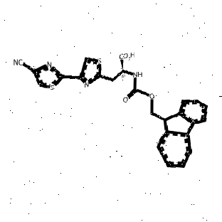 N#Cc1csc(-c2csc(C[C@H](NC(=O)OCC3c4ccccc4-c4ccccc43)C(=O)O)n2)n1